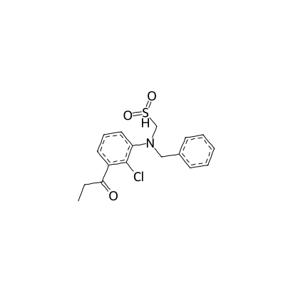 CCC(=O)c1cccc(N(Cc2ccccc2)C[SH](=O)=O)c1Cl